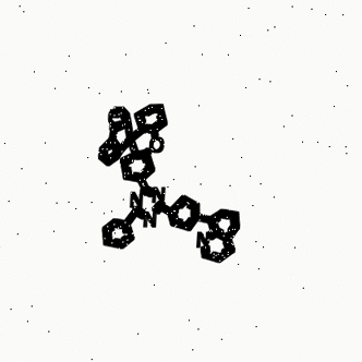 c1ccc(-c2nc(-c3ccc(-c4cccc5cccnc45)cc3)nc(-c3ccc4c(c3)Oc3ccccc3C43c4ccccc4-c4ccccc43)n2)cc1